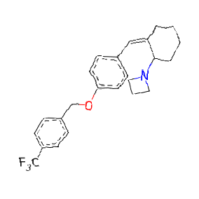 FC(F)(F)c1ccc(COc2ccc(/C=C3/CCCCC3N3CCC3)cc2)cc1